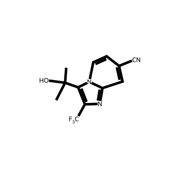 CC(C)(O)c1c(C(F)(F)F)nc2cc(C#N)ccn12